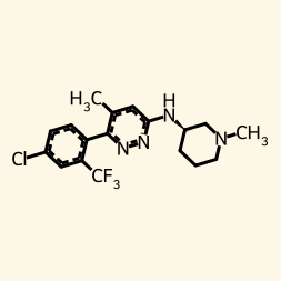 Cc1cc(N[C@@H]2CCCN(C)C2)nnc1-c1ccc(Cl)cc1C(F)(F)F